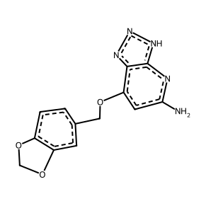 Nc1cc(OCc2ccc3c(c2)OCO3)c2nn[nH]c2n1